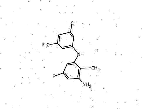 Cc1c(N)cc(F)cc1Nc1cc(Cl)cc(C(F)(F)F)c1